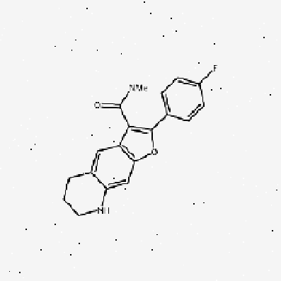 CNC(=O)c1c(-c2ccc(F)cc2)oc2cc3c(cc12)CCCN3